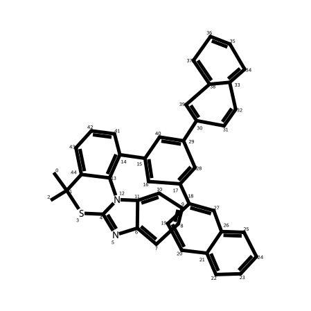 CC1(C)Sc2nc3ccccc3n2-c2c(-c3cc(-c4ccc5ccccc5c4)cc(-c4ccc5ccccc5c4)c3)cccc21